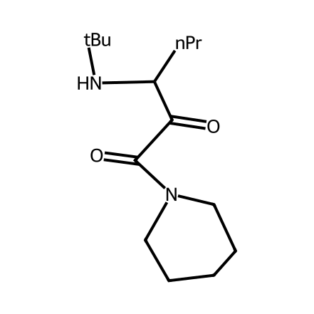 CCCC(NC(C)(C)C)C(=O)C(=O)N1CCCCC1